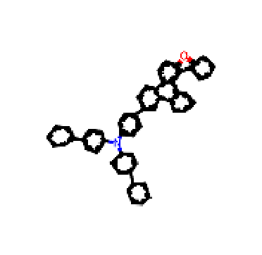 c1ccc(-c2ccc(N(c3ccc(-c4ccccc4)cc3)c3ccc(-c4ccc5c(c4)c4ccccc4c4c5ccc5oc6ccccc6c54)cc3)cc2)cc1